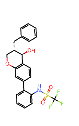 O=S(=O)(Nc1ccccc1-c1ccc2c(c1)OC[C@H](Cc1ccccc1)[C@H]2O)C(F)(F)F